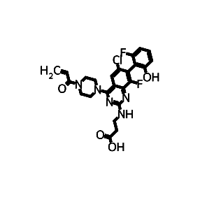 C=CC(=O)N1CCN(c2nc(NCCC(=O)O)nc3c(F)c(-c4c(O)cccc4F)c(Cl)cc23)CC1